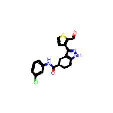 O=Cc1sccc1-c1n[nH]c2c1CC(C(=O)Nc1cccc(Cl)c1)CC2